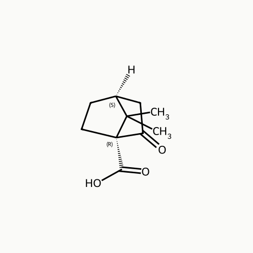 CC1(C)[C@H]2CC[C@]1(C(=O)O)C(=O)C2